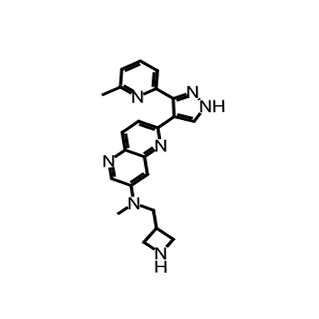 Cc1cccc(-c2n[nH]cc2-c2ccc3ncc(N(C)CC4CNC4)cc3n2)n1